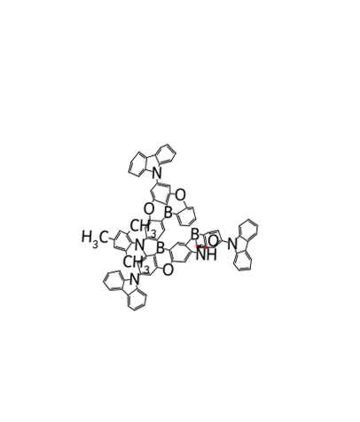 Cc1cc(C)c(N2c3cc4c(cc3B3c5cc6c(cc5Oc5cc(-n7c8ccccc8c8ccccc87)cc2c53)Nc2cc(-n3c5ccccc5c5ccccc53)cc3c2B6c2ccccc2O3)B2c3ccccc3Oc3cc(-n5c6ccccc6c6ccccc65)cc(c32)O4)c(C)c1